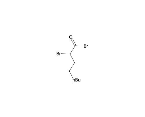 CCCCCCC(Br)C(=O)Br